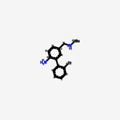 CCc1ccccc1-c1cc(CNC(C)(C)C)ccc1N